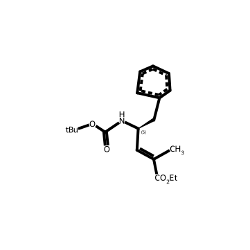 CCOC(=O)C(C)=C[C@H](Cc1ccccc1)NC(=O)OC(C)(C)C